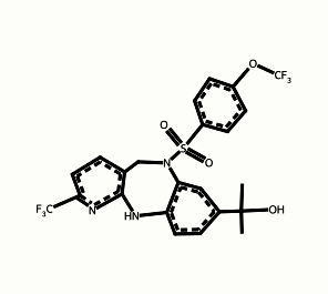 CC(C)(O)c1ccc2c(c1)N(S(=O)(=O)c1ccc(OC(F)(F)F)cc1)Cc1ccc(C(F)(F)F)nc1N2